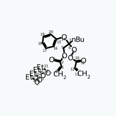 C=CC(=O)OCC(CCCC)(OOC(=O)C=C)Oc1ccccc1.[CH2]C[O].[CH2]C[O].[CH2]C[O].[CH2]C[O]